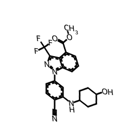 COC(=O)c1cccc2c1c(C(F)(F)F)nn2-c1ccc(C#N)c(NC2CCC(O)CC2)c1